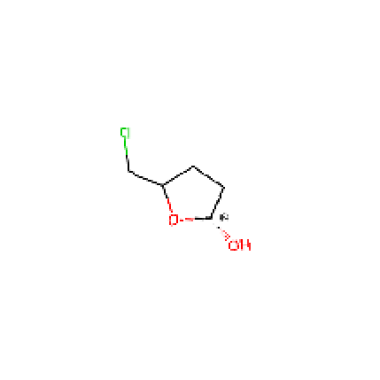 O[C@H]1CCC(CCl)O1